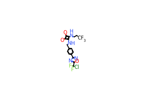 O=c1c(NCCC(F)(F)F)c(NCc2ccc(-c3noc(C(F)(F)Cl)n3)cc2)c1=O